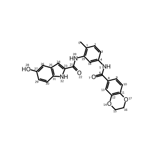 Cc1ccc(NC(=O)c2ccc3c(c2)OCCO3)cc1NC(=O)c1cc2cc(O)ccc2[nH]1